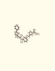 O=C(Nc1cccc(OCC2CCN(C(=O)O)C2)n1)Nc1csc(-c2ccncc2)n1